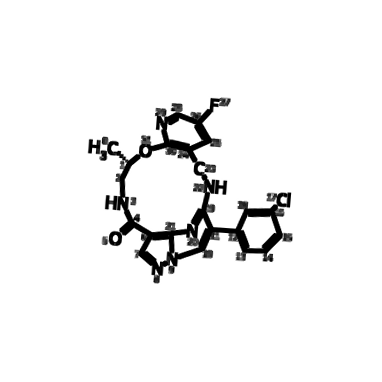 C[C@H]1CNC(=O)c2cnn3cc(-c4cccc(Cl)c4)c(nc23)NCc2cc(F)cnc2O1